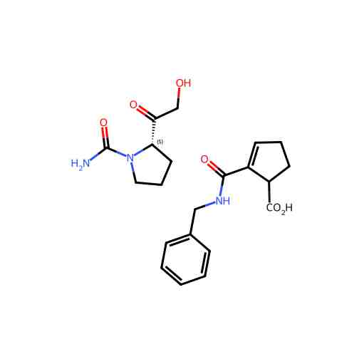 NC(=O)N1CCC[C@H]1C(=O)CO.O=C(NCc1ccccc1)C1=CCCC1C(=O)O